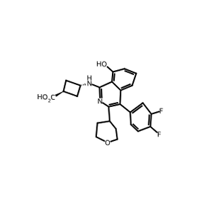 O=C(O)[C@H]1C[C@H](Nc2nc(C3CCOCC3)c(-c3ccc(F)c(F)c3)c3cccc(O)c23)C1